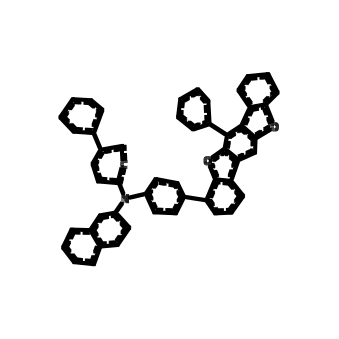 c1ccc(-c2ccc(N(c3ccc(-c4cccc5c4oc4c(-c6ccccc6)c6c(cc45)oc4ccccc46)cc3)c3ccc4ccccc4c3)cc2)cc1